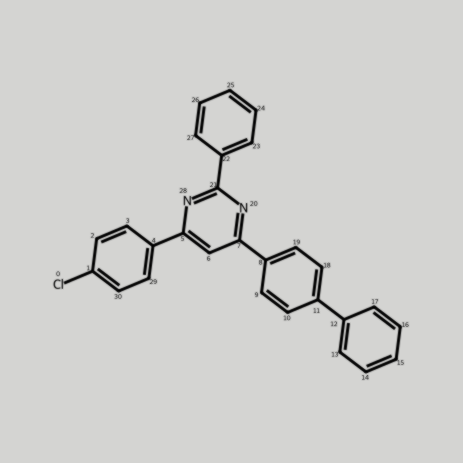 Clc1ccc(-c2cc(-c3ccc(-c4ccccc4)cc3)nc(-c3ccccc3)n2)cc1